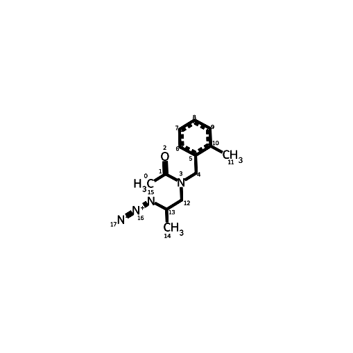 CC(=O)N(Cc1ccccc1C)CC(C)N=[N+]=[N-]